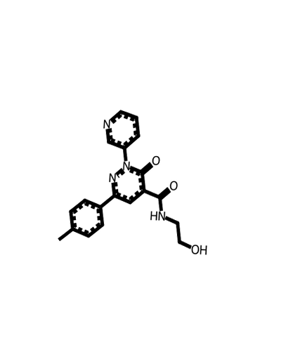 Cc1ccc(-c2cc(C(=O)NCCO)c(=O)n(-c3cccnc3)n2)cc1